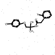 CC(C#N)(COc1ccc(Cl)cc1)NC(=O)Cc1ccccc1F